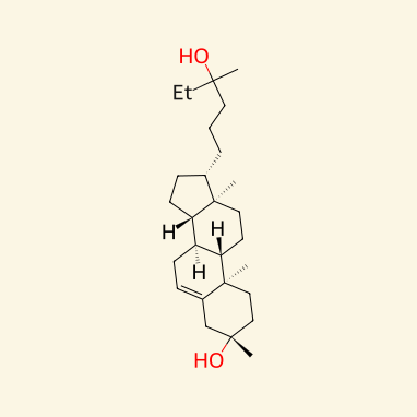 CCC(C)(O)CCC[C@H]1CC[C@H]2[C@@H]3CC=C4C[C@@](C)(O)CC[C@]4(C)[C@H]3CC[C@]12C